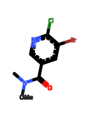 CON(C)C(=O)c1cnc(Cl)c(Br)c1